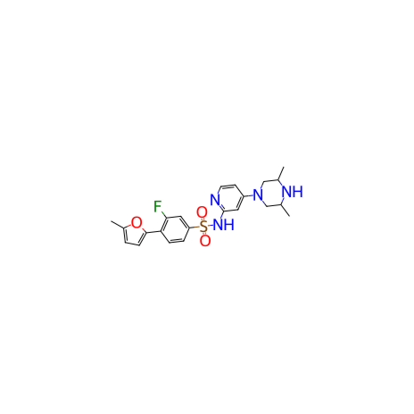 Cc1ccc(-c2ccc(S(=O)(=O)Nc3cc(N4CC(C)NC(C)C4)ccn3)cc2F)o1